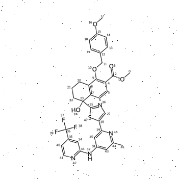 COC(=O)c1ccc2c(c1OCc1ccc(OC)cc1)CCCC2(O)c1ncc(-c2cc(Nc3cc(C(F)(F)F)ccn3)cc(C)n2)s1